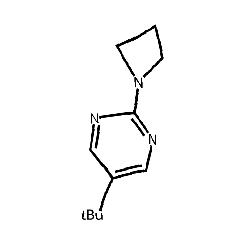 CC(C)(C)c1cnc(N2CCC2)nc1